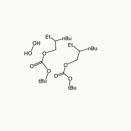 CCCCC(CC)COC(=O)OC(C)(C)C.CCCCC(CC)COC(=O)OC(C)(C)C.OO